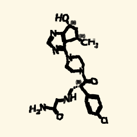 C[C@@H]1C[C@@H](O)c2ncnc(N3CCN(C(=O)[C@@H](CNCC(N)=O)c4ccc(Cl)cc4)CC3)c21